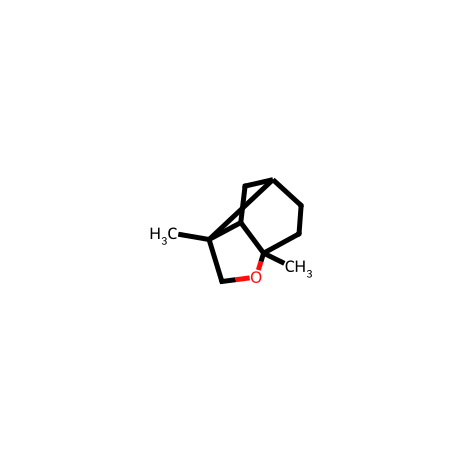 CC12CCC3CC1C3(C)CO2